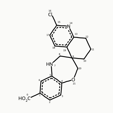 O=C(O)c1ccc2c(c1)NCC1(CCCc3nc(Cl)ccc31)CO2